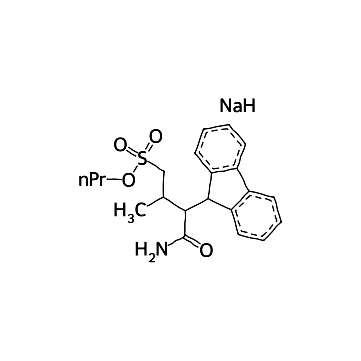 CCCOS(=O)(=O)CC(C)C(C(N)=O)C1c2ccccc2-c2ccccc21.[NaH]